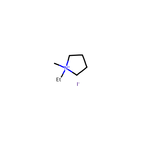 CC[N+]1(C)CCCC1.[I-]